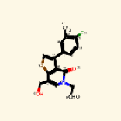 O=CCn1cc(CO)c2scc(-c3ccc(F)c(C(F)(F)F)c3)c2c1=O